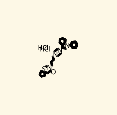 Cl.Cl.O=C1CC2(CCCC2)SCN1CCCCN1CCN(c2cn(-c3ccccc3)c3ccccc23)CC1